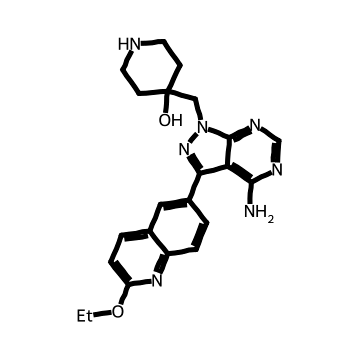 CCOc1ccc2cc(-c3nn(CC4(O)CCNCC4)c4ncnc(N)c34)ccc2n1